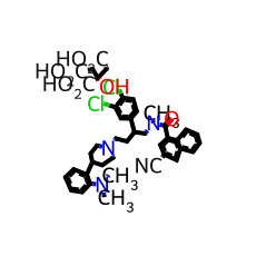 CN(CC(CCN1CCC(c2ccccc2N(C)C)CC1)c1ccc(Cl)c(Cl)c1)C(=O)c1cc(C#N)cc2ccccc12.O=C(O)CC(O)(CC(=O)O)C(=O)O